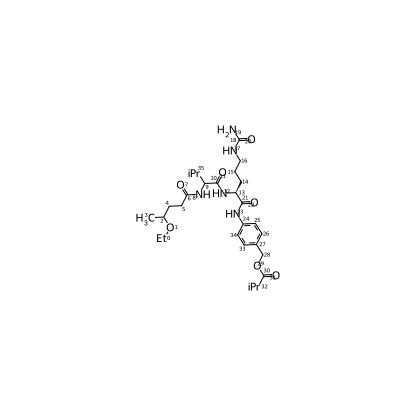 CCOC(C)CCC(=O)NC(C(=O)N[C@@H](CCCNC(N)=O)C(=O)Nc1ccc(COC(=O)C(C)C)cc1)C(C)C